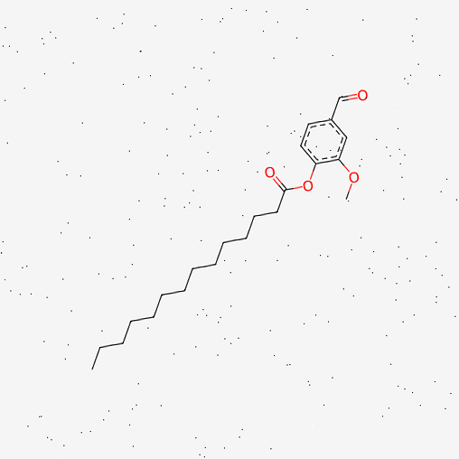 CCCCCCCCCCCCCC(=O)Oc1ccc(C=O)cc1OC